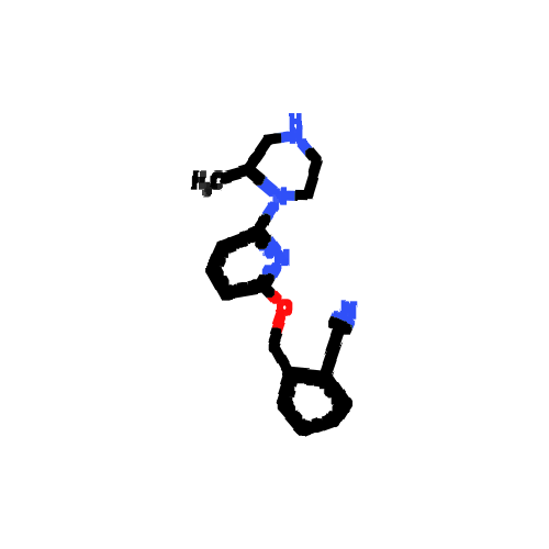 CC1CNCCN1c1cccc(OCc2ccccc2C#N)n1